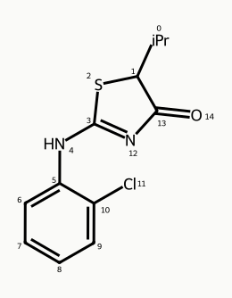 CC(C)C1SC(Nc2ccccc2Cl)=NC1=O